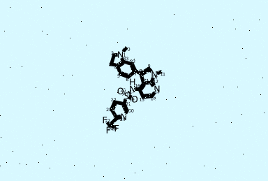 CN1CCc2ccc(-c3cn(C)c4nccc(NS(=O)(=O)c5ccc(C(F)(F)F)nc5)c34)cc21